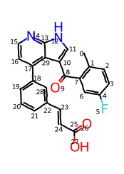 Cc1ccc(F)cc1C(=O)c1c[nH]c2nccc(-c3cccc(/C=C/C(=O)O)c3)c12